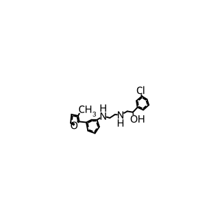 Cc1ccoc1-c1cccc(NCCNC[C@H](O)c2cccc(Cl)c2)c1